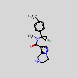 CN(C(=O)c1cnn2c1CNCC2)C1(c2ccc(C(=O)O)cc2)CC1.Cl